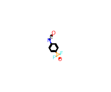 O=C=Nc1ccc(P(=O)(F)F)cc1